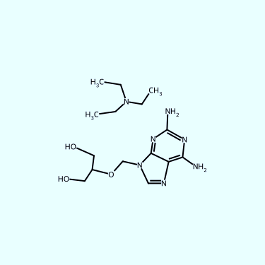 CCN(CC)CC.Nc1nc(N)c2ncn(COC(CO)CO)c2n1